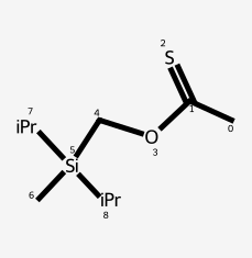 CC(=S)OC[Si](C)(C(C)C)C(C)C